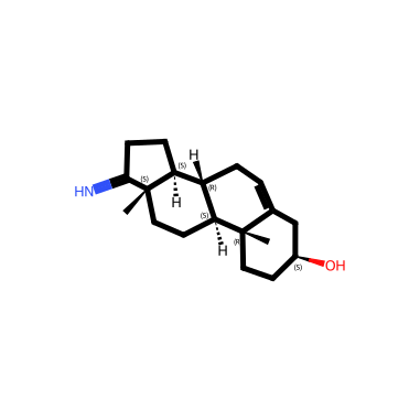 C[C@]12CC[C@H](O)CC1=CC[C@@H]1[C@@H]2CC[C@]2(C)C(=N)CC[C@@H]12